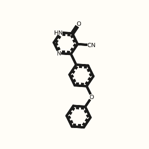 N#Cc1c(-c2ccc(Oc3ccccc3)cc2)nc[nH]c1=O